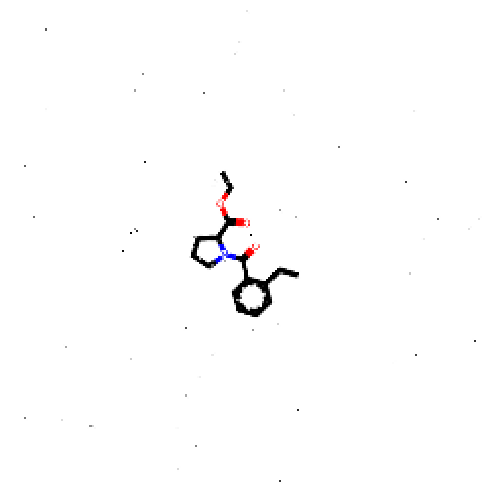 CCOC(=O)C1CCCN1C(=O)c1ccccc1CC